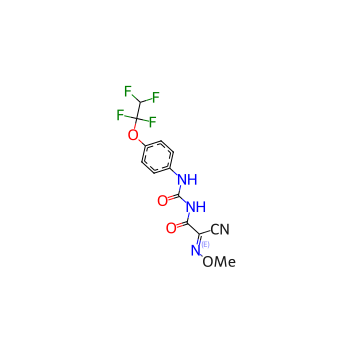 CO/N=C(\C#N)C(=O)NC(=O)Nc1ccc(OC(F)(F)C(F)F)cc1